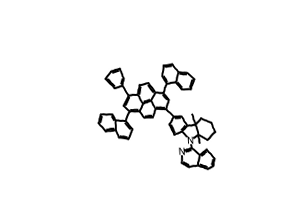 CC12CCCCC1(C)N(c1nccc3ccccc13)c1ccc(-c3cc(-c4cccc5ccccc45)c4ccc5c(-c6ccccc6)cc(-c6cccc7ccccc67)c6ccc3c4c56)cc12